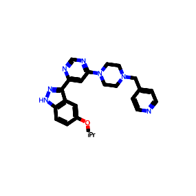 CC(C)Oc1ccc2[nH]nc(-c3cc(N4CCN(Cc5ccncc5)CC4)ncn3)c2c1